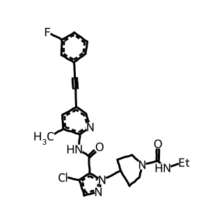 CCNC(=O)N1CCC(n2ncc(Cl)c2C(=O)Nc2ncc(C#Cc3cccc(F)c3)cc2C)CC1